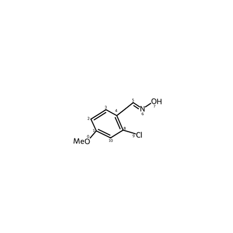 COc1ccc(C=NO)c(Cl)c1